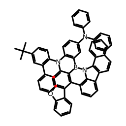 CC(C)(C)c1ccc(N2c3ccc(N(c4ccccc4)c4ccccc4)cc3B3c4c2cc2oc5ccccc5c2c4-c2cccc4c5ccc6ccccc6c5n3c24)c(-c2ccccc2)c1